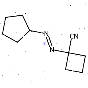 N#CC1(/N=N/C2CCCC2)CCC1